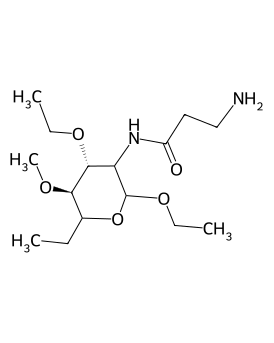 CCOC1OC(CC)[C@@H](OC)[C@H](OCC)C1NC(=O)CCN